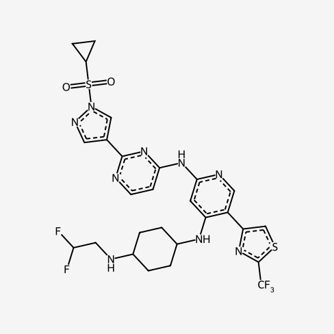 O=S(=O)(C1CC1)n1cc(-c2nccc(Nc3cc(NC4CCC(NCC(F)F)CC4)c(-c4csc(C(F)(F)F)n4)cn3)n2)cn1